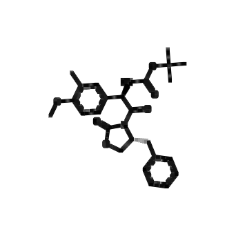 COc1ccc([C@@H](NC(=O)OC(C)(C)C)C(=O)N2C(=O)OC[C@H]2Cc2ccccc2)cc1C